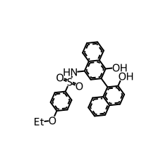 CCOc1ccc(S(=O)(=O)Nc2cc(-c3c(O)ccc4ccccc34)c(O)c3ccccc23)cc1